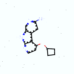 Nc1cc2c(cn1)[nH]c1nccc(OC3CCC3)c12